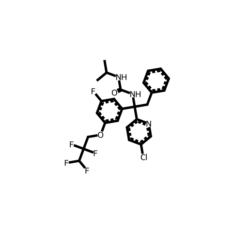 CC(C)NC(=O)NC(Cc1ccccc1)(c1cc(F)cc(OCC(F)(F)C(F)F)c1)c1ccc(Cl)cn1